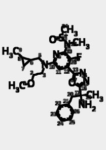 COCCN(CC1CC1C)c1cc(-c2nnc([C@](C)(N)Cc3ccccc3)o2)c(F)c(N(C)[S+](C)[O-])n1